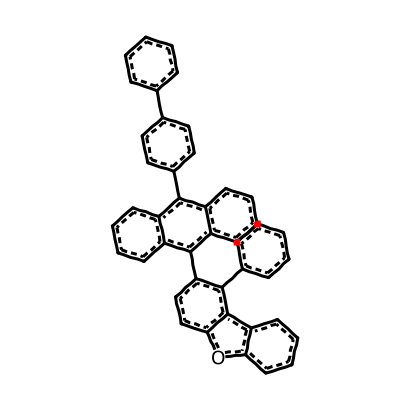 c1ccc(-c2ccc(-c3c4ccccc4c(-c4ccc5oc6ccccc6c5c4-c4ccccc4)c4ccccc34)cc2)cc1